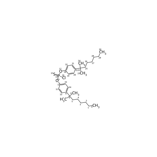 CCCCCCC(C)(C)c1ccc(OP(=S)(Cl)Oc2ccc(C(C)(C)CCCCCC)cc2)cc1